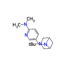 CN(C)c1ccc(CN2C3CC2CN(C(C)(C)C)C3)cn1